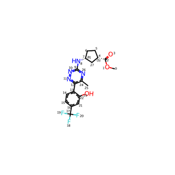 COC(=O)[C@H]1CC[C@@H](Nc2nnc(-c3ccc(C(F)(F)F)cc3O)c(C)n2)C1